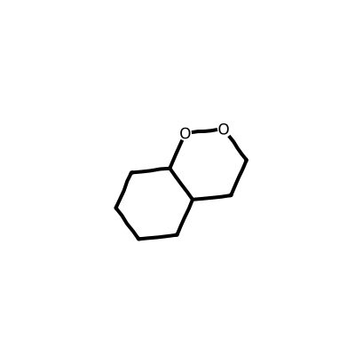 C1CCC2OOCCC2C1